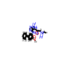 CCNCC(=O)c1n[nH]c2ncnc(Nc3cc(-c4ccccc4)ccc3OC)c12